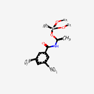 CCC[Si](OCC)(OCC)OC(C)NC(=O)c1cc([N+](=O)[O-])cc([N+](=O)[O-])c1